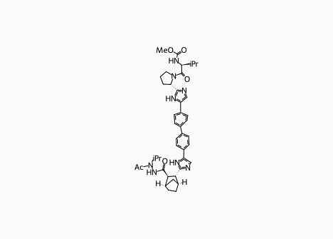 COC(=O)N[C@H](C(=O)N1CCC[C@H]1c1ncc(-c2ccc(-c3ccc(-c4cnc([C@@H]5[C@H]6CC[C@H](C6)[C@H]5C(=O)NN(C(C)=O)C(C)C)[nH]4)cc3)cc2)[nH]1)C(C)C